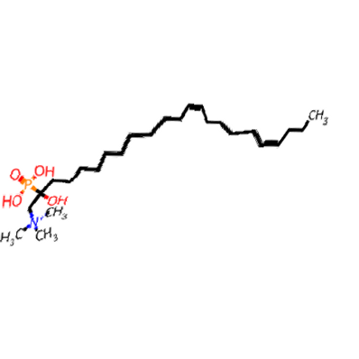 CCC/C=C\CCCC/C=C\CCCCCCCCCCC(O)(C[N+](C)(C)C)P(=O)(O)O